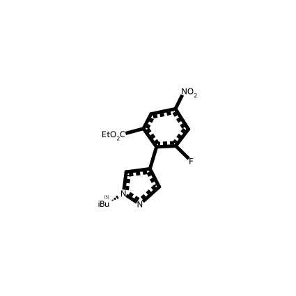 CCOC(=O)c1cc([N+](=O)[O-])cc(F)c1-c1cnn([C@@H](C)CC)c1